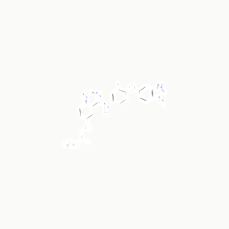 CCCCC(C)COc1ccc2ncnc(Nc3ccc(Oc4ccc5c(c4)ncn5C)c(C)c3)c2c1